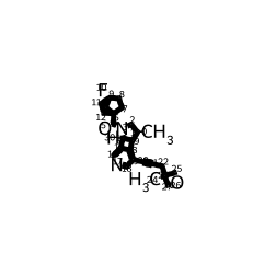 C[C@H]1CN(C(=O)C23CCC(F)(CC2)C3)[C@@H]2c3cncc(C#CCC4(C)COC4)c3C21